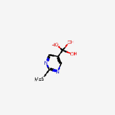 CSc1ncc(C(O)(O)O)cn1